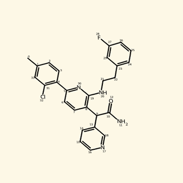 Cc1ccc(-c2ccc(C(C(N)=O)c3cccnc3)c(NCCc3cccc(F)c3)n2)c(Cl)c1